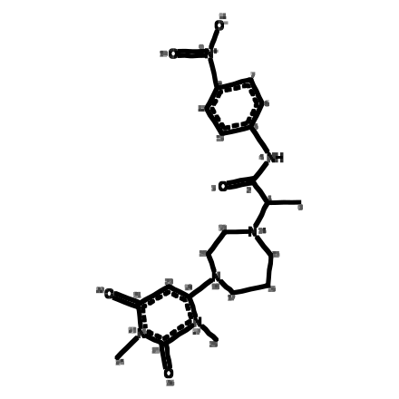 CC(C(=O)Nc1ccc([N+](=O)[O-])cc1)N1CCCN(c2cc(=O)n(C)c(=O)n2C)CC1